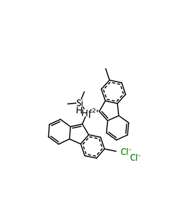 Cc1ccc2c(c1)[C]([Hf+2]([C]1=C3C=CC=CC3c3ccc(C)cc31)[SiH](C)C)=C1C=CC=CC12.[Cl-].[Cl-]